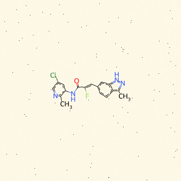 Cc1ncc(Cl)cc1NC(=O)/C(F)=C/c1ccc2c(C)n[nH]c2c1